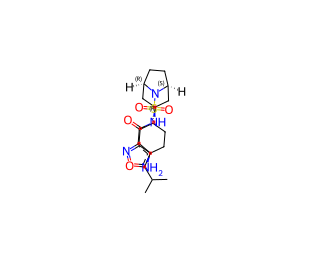 CC(C)c1cc(C(=O)N[C@H]2C[C@H]3CC[C@@H](C2)N3S(=O)(=O)[C@H]2CC[C@H](N)CC2)no1